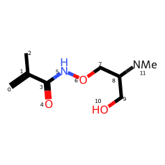 C=C(C)C(=O)NOCC(CO)NC